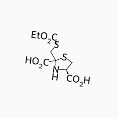 CCOC(=O)SCC1(C(=O)O)N[C@H](C(=O)O)CS1